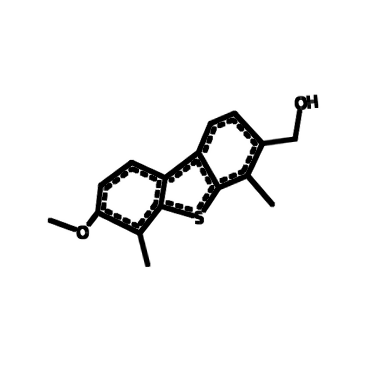 COc1ccc2c(sc3c(C)c(CO)ccc32)c1C